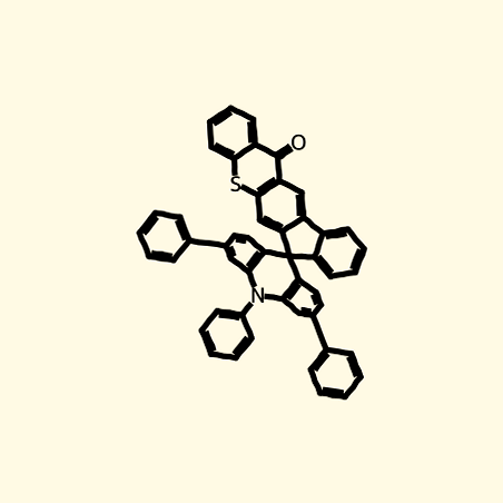 O=c1c2ccccc2sc2cc3c(cc12)-c1ccccc1C31c2ccc(-c3ccccc3)cc2N(c2ccccc2)c2cc(-c3ccccc3)ccc21